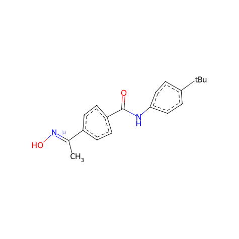 C/C(=N\O)c1ccc(C(=O)Nc2ccc(C(C)(C)C)cc2)cc1